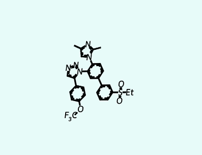 CCS(=O)(=O)c1cccc(-c2ccc(-n3cc(C)nc3C)c(-n3nncc3-c3ccc(OC(F)(F)F)cc3)c2)c1